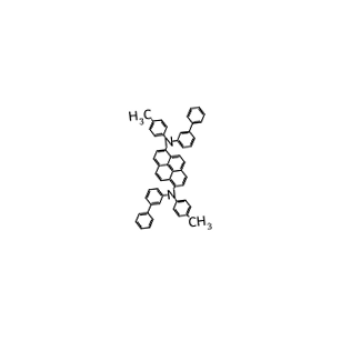 Cc1ccc(N(c2cccc(-c3ccccc3)c2)c2ccc3ccc4c(N(c5ccc(C)cc5)c5cccc(-c6ccccc6)c5)ccc5ccc2c3c54)cc1